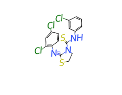 S=C(Nc1cccc(Cl)c1)N1CCS/C1=N/c1ccc(Cl)cc1Cl